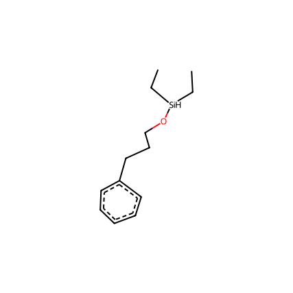 CC[SiH](CC)OCCCc1ccccc1